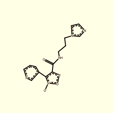 O=C(NCCCn1ccnc1)c1no[n+]([O-])c1-c1cccnc1